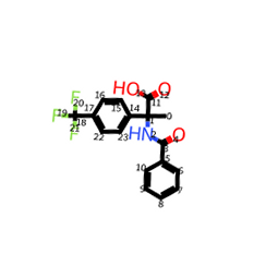 CC(NC(=O)c1ccccc1)(C(=O)O)c1ccc(C(F)(F)F)cc1